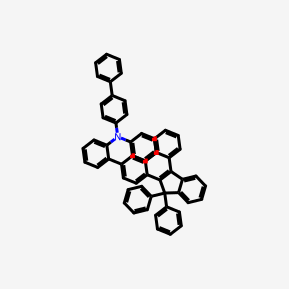 c1ccc(-c2ccc(N(c3ccccc3)c3ccccc3-c3ccc4c5c(c6ccccc6c4c3)-c3ccccc3C5(c3ccccc3)c3ccccc3)cc2)cc1